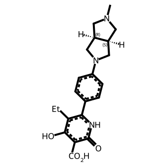 CCc1c(-c2ccc(N3C[C@H]4CN(C)C[C@H]4C3)cc2)[nH]c(=O)c(C(=O)O)c1O